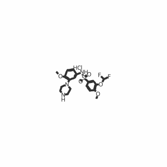 COc1ccc(S(=O)(=O)Nc2ccc(OC)c(N3CCNCC3)c2)cc1OC(F)F.Cl